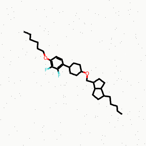 CCCCCCOc1ccc(C2CCC(OCC3CCC4C(CCCCC)CCC34)CC2)c(F)c1F